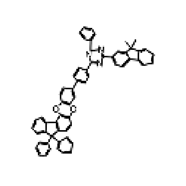 CC1(C)c2ccccc2-c2ccc(-c3nc(-c4ccccc4)nc(-c4ccc(-c5ccc6c(c5)Oc5ccc7c(c5O6)-c5ccccc5C7(c5ccccc5)c5ccccc5)cc4)n3)cc21